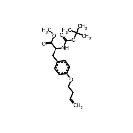 C=CCCOc1ccc(C[C@H](NC(=O)OC(C)(C)C)C(=O)OC)cc1